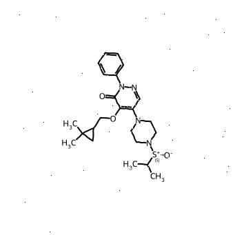 CC(C)[S@@+]([O-])N1CCN(c2cnn(-c3ccccc3)c(=O)c2OCC2CC2(C)C)CC1